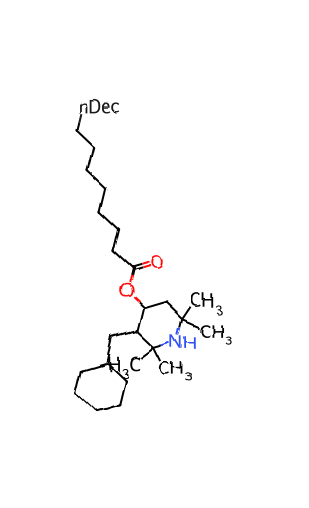 CCCCCCCCCCCCCCCCCC(=O)OC1CC(C)(C)NC(C)(C)C1CC1CCCCC1